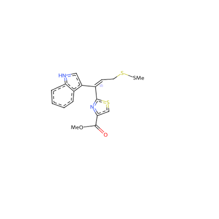 COC(=O)c1csc(/C(=C\CSSC)c2c[nH]c3ccccc23)n1